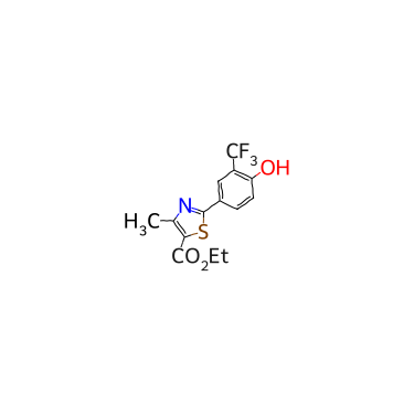 CCOC(=O)c1sc(-c2ccc(O)c(C(F)(F)F)c2)nc1C